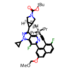 CCc1nc(-c2cc(OCOC)cc3ccc(F)c(C#C[Si](C(C)C)(C(C)C)C(C)C)c23)c(F)c2c1c(C1[C@H]3CN(C(=O)OC(C)(C)C)C[C@@H]13)nn2C1CC1